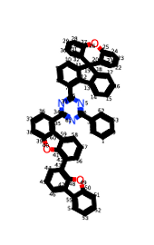 c1ccc(-c2nc(-c3cccc4c3-c3ccccc3C43c4ccccc4Oc4ccccc43)nc(-c3cccc4oc5c(-c6cccc7c6oc6ccccc67)cccc5c34)n2)cc1